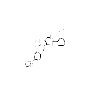 CC(C)Oc1cc(F)ccc1-c1ncc2[nH]c(=O)n(Cc3ccc(-n4nccn4)cc3)c2n1